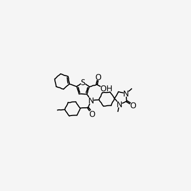 CC1CCC(C(=O)N(c2cc(C3=CCCCC3)sc2C(=O)O)C2CCC3(CC2)CN(C)C(=O)N3C)CC1